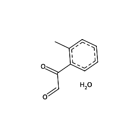 Cc1ccccc1C(=O)C=O.O